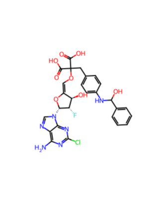 Nc1nc(Cl)nc2c1ncn2[C@@H]1O/C(=C/OC(Cc2ccc(NC(O)c3ccccc3)cc2)(C(=O)O)C(=O)O)[C@@H](O)[C@@H]1F